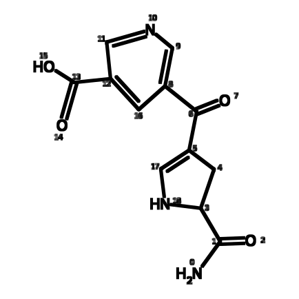 NC(=O)C1CC(C(=O)c2cncc(C(=O)O)c2)=CN1